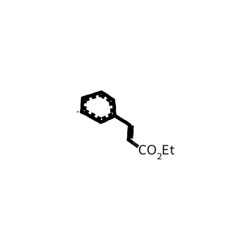 CCOC(=O)C=Cc1c[c]ccc1